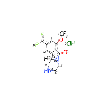 Cl.O=C1c2c(OC(F)(F)F)cc(C(F)F)cc2[C@@H]2CNCCN12